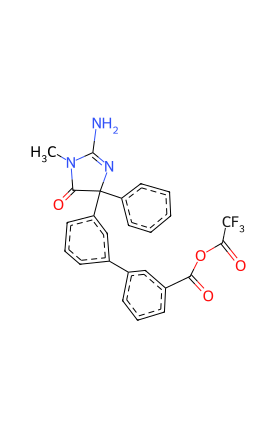 CN1C(=O)C(c2ccccc2)(c2cccc(-c3cccc(C(=O)OC(=O)C(F)(F)F)c3)c2)N=C1N